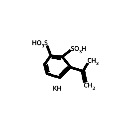 C=C(C)c1cccc(S(=O)(=O)O)c1S(=O)(=O)O.[KH]